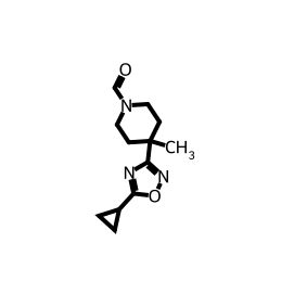 CC1(c2noc(C3CC3)n2)CCN(C=O)CC1